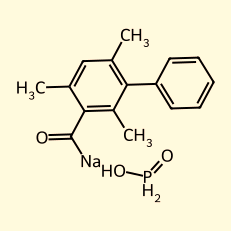 Cc1cc(C)c(-c2ccccc2)c(C)c1[C](=O)[Na].O=[PH2]O